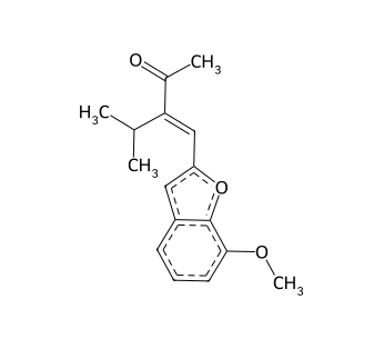 COc1cccc2cc(/C=C(/C(C)=O)C(C)C)oc12